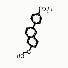 O=C(O)c1ccc(-c2ccc3cc(OCO)ccc3c2)cc1